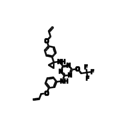 C=CCOc1ccc(C2(Nc3nc(Nc4cccc(OCC=C)c4)nc(OCC(F)(F)F)n3)CC2)cc1